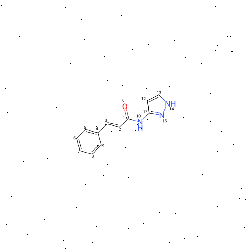 O=C(/C=C/c1ccccc1)Nc1cc[nH]n1